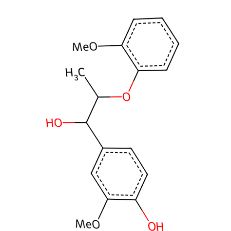 COc1cc(C(O)C(C)Oc2ccccc2OC)ccc1O